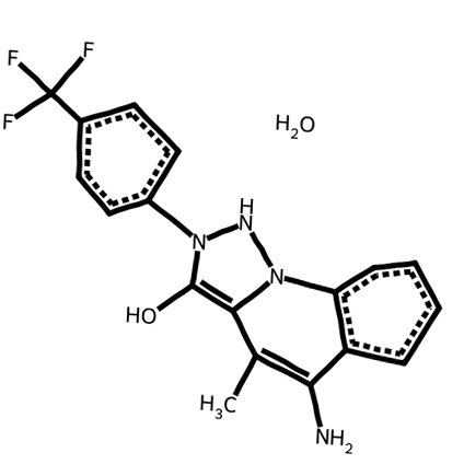 CC1=C(N)c2ccccc2N2NN(c3ccc(C(F)(F)F)cc3)C(O)=C12.O